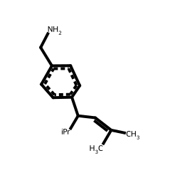 CC(C)=CC(c1ccc(CN)cc1)C(C)C